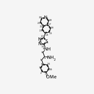 COc1ccc(C[C@H](N)CNc2nnc(-c3ccc4cnccc4c3)s2)cc1